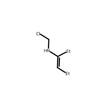 CC/C=C(\CC)NCCl